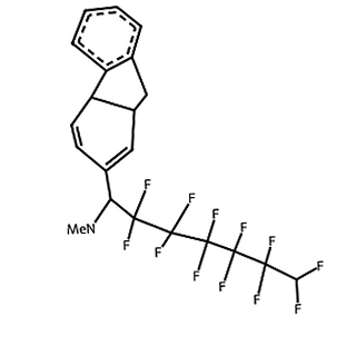 CNC(C1=CC2Cc3ccccc3C2C=C1)C(F)(F)C(F)(F)C(F)(F)C(F)(F)C(F)(F)C(F)F